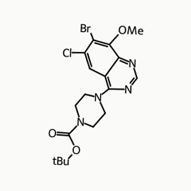 COc1c(Br)c(Cl)cc2c(N3CCN(C(=O)OC(C)(C)C)CC3)ncnc12